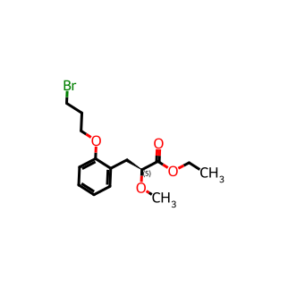 CCOC(=O)[C@H](Cc1ccccc1OCCCBr)OC